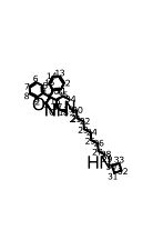 NC(=O)C(c1ccccc1)(c1ccccc1)C1CCN(CCCCCCCCCNC2CCC2)CC1